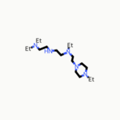 CCN(CC)CCNCCN(CC)CCN1CCN(CC)CC1